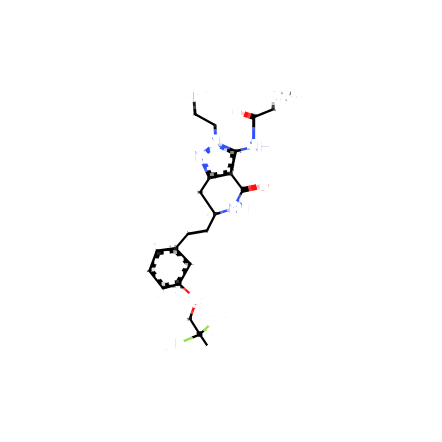 CSCC(=O)Nc1c2c(nn1CCC(C)C)CC(CCc1cccc(OCC(C)(F)F)c1)NC2=O